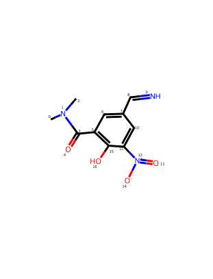 CN(C)C(=O)c1cc(C=N)cc([N+](=O)[O-])c1O